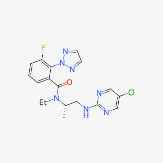 CCN(C(=O)c1cccc(F)c1-n1nccn1)[C@@H](C)CNc1ncc(Cl)cn1